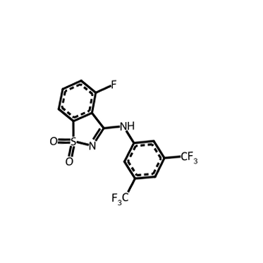 O=S1(=O)N=C(Nc2cc(C(F)(F)F)cc(C(F)(F)F)c2)c2c(F)cccc21